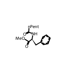 CCCCCC(=O)N[C@@H](Cc1ccccc1)C(=O)OC